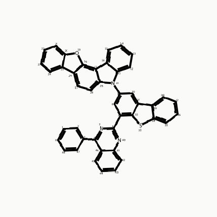 c1ccc(-c2nc(-c3cc(-n4c5ccccc5c5c6oc7ccccc7c6ccc54)cc4c3sc3ccccc34)nc3ccccc23)cc1